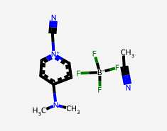 CC#N.CN(C)c1cc[n+](C#N)cc1.F[B-](F)(F)F